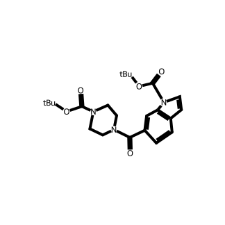 CC(C)(C)OC(=O)N1CCN(C(=O)c2ccc3ccn(C(=O)OC(C)(C)C)c3c2)CC1